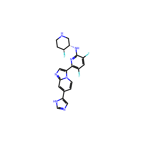 Fc1cc(F)c(-c2cnc3cc(-c4cnc[nH]4)ccn23)nc1N[C@H]1CNCC[C@@H]1F